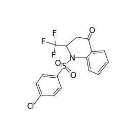 O=C1CC(C(F)(F)F)N(S(=O)(=O)c2ccc(Cl)cc2)c2ccccc21